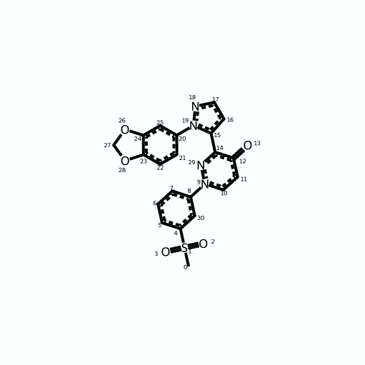 CS(=O)(=O)c1cccc(-n2ccc(=O)c(-c3ccnn3-c3ccc4c(c3)OCO4)n2)c1